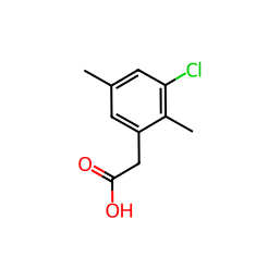 Cc1cc(Cl)c(C)c(CC(=O)O)c1